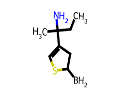 BC1CC(C(C)(N)CC)=CS1